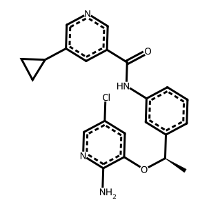 C[C@@H](Oc1cc(Cl)cnc1N)c1cccc(NC(=O)c2cncc(C3CC3)c2)c1